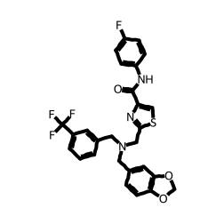 O=C(Nc1ccc(F)cc1)c1csc(CN(Cc2cccc(C(F)(F)F)c2)Cc2ccc3c(c2)OCO3)n1